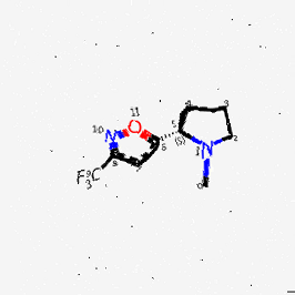 CN1CCC[C@H]1c1cc(C(F)(F)F)no1